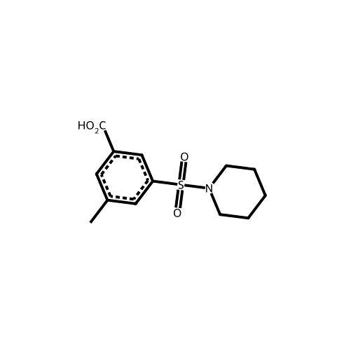 Cc1cc(C(=O)O)cc(S(=O)(=O)N2CCCCC2)c1